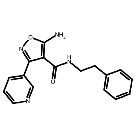 Nc1onc(-c2cccnc2)c1C(=O)NCCc1ccccc1